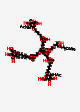 COCCCOCC(CO)COCCCOP(=O)(O)OCC(COCCCOP(=O)(O)OCCCCCCO[C@@H]1OC(CO)[C@H](O)[C@H](O)C1NC(C)=O)(COCCCOP(=O)(O)OCCCCCCO[C@@H]1OC(CO)[C@H](O)[C@H](O)C1NC(C)=O)COCCCOP(=O)(O)OCCCCCCO[C@@H]1OC(CO)[C@H](O)C(O)[C@@H]1NC(C)=O